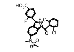 CN(c1ccc2c(-c3ccc(C(=O)O)cc3F)nn(C(=O)c3c(Cl)cccc3C(F)(F)F)c2c1)S(C)(=O)=O